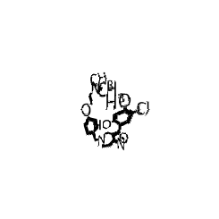 CN(C)CCOc1ccc(CN2CCc3noc(-c4cc(Cl)c(O)cc4O)c3C2)cc1